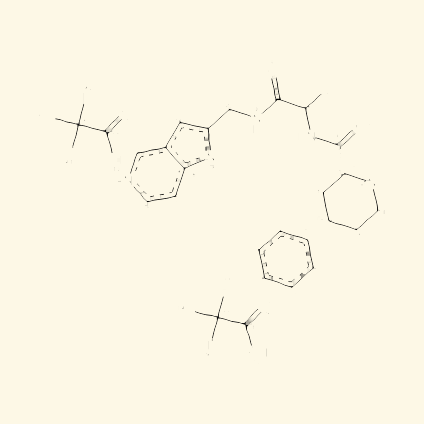 CC(NC(=O)[C@H]1C[C@@H](c2ccccc2)CCN1)C(=O)NCc1cc2cnccc2[nH]1.O=C(O)C(F)(F)F.O=C(O)C(F)(F)F